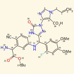 C=CCn1cnc(-n2nc(C(Nc3ccc(C#N)c(C(N)C(=O)OC(C)(C)C)c3)c3cc(OC)c(OC)cc3F)[nH]c2=O)c1C(=O)O